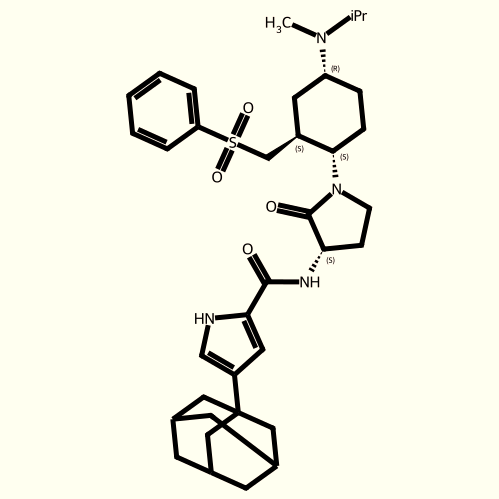 CC(C)N(C)[C@@H]1CC[C@H](N2CC[C@H](NC(=O)c3cc(C45CC6CC(CC(C6)C4)C5)c[nH]3)C2=O)[C@@H](CS(=O)(=O)c2ccccc2)C1